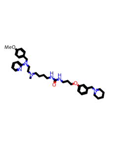 COc1ccc(CN(CCN(C)CCCCNC(=O)NCCCOc2cccc(CN3CCCCC3)c2)c2ccccn2)cc1